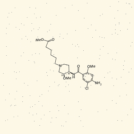 COC(=O)CCCCCN1CC[C@@H](NC(=O)c2cc(Cl)c(N)cc2OC)[C@@H](OC)C1